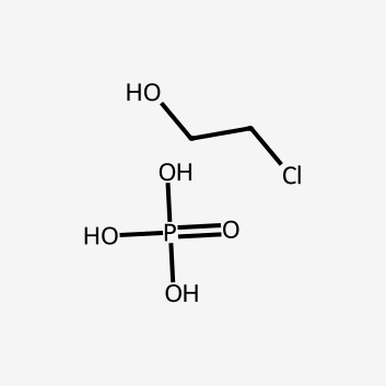 O=P(O)(O)O.OCCCl